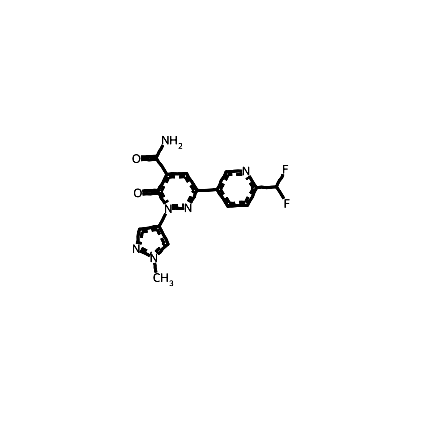 Cn1cc(-n2nc(-c3ccc(C(F)F)nc3)cc(C(N)=O)c2=O)cn1